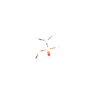 CCCCOP(=O)(O)N(CCCC)CCCC